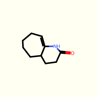 O=C1CCC2CCCCC=C2N1